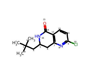 CC(C)(C)CC1Cc2nc(Cl)ccc2C(=O)N1